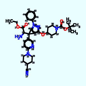 CCOC(=O)C(N)C1(c2ccc(N3CCC(C#N)CC3)nc2)c2c(OC3CCN(C(=O)OC(C)(C)C)CC3)nn(-c3ccccc3)c21